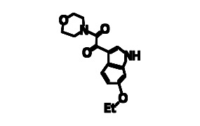 CCOc1ccc2c(C(=O)C(=O)N3CCOCC3)c[nH]c2c1